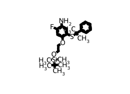 CC(C)(Sc1cc(N)c(F)cc1OCCO[Si](C)(C)C(C)(C)C)c1ccccc1